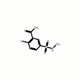 CNS(=O)(=O)c1ccc(Cl)c(C(C)=O)c1